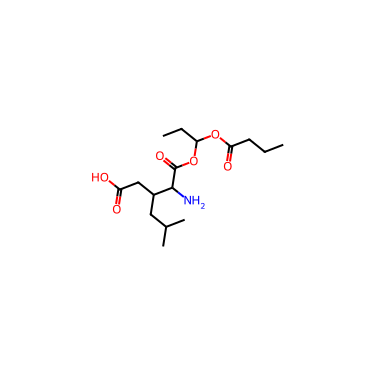 CCCC(=O)OC(CC)OC(=O)C(N)C(CC(=O)O)CC(C)C